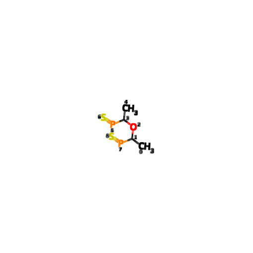 CC(OC(C)P=S)P=S